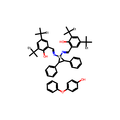 CCC(C)(C)c1cc(C=[N][Co]2([N]=Cc3cc(C(C)(C)CC)cc(C(C)(C)CC)c3O)[CH](c3ccccc3)[CH]2c2ccccc2)c(O)c(C(C)(C)CC)c1.Oc1ccc(Oc2ccccc2)cc1